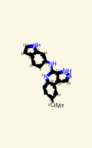 COc1ccc2nc(Nc3ccc4cc[nH]c4c3)c3[nH]ncc3c2c1